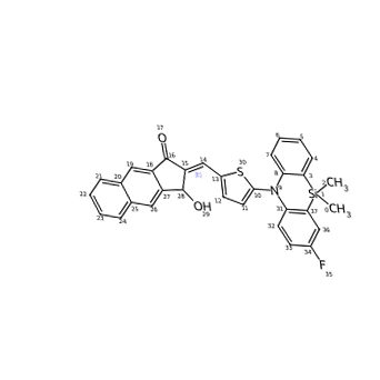 C[Si]1(C)c2ccccc2N(c2ccc(/C=C3/C(=O)c4cc5ccccc5cc4C3O)s2)c2ccc(F)cc21